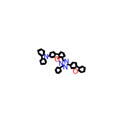 c1ccc(-c2nc(-c3ccc4c(c3)oc3ccccc34)nc(-c3cccc4c3oc3cc(-n5c6ccccc6c6ccccc65)ccc34)n2)cc1